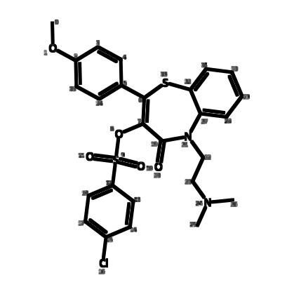 COc1ccc(C2=C(OS(=O)(=O)c3ccc(Cl)cc3)C(=O)N(CCN(C)C)c3ccccc3S2)cc1